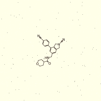 N#Cc1ccc(-c2cc(CNC(=O)C3CCOCC3)cc3c2CN(C#N)C3)cc1